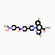 COC(=O)C1=Cc2cc(Cl)ccc2C(N2CCC(C3CCN(C(=O)CC4CCN(B(C)O)CC4)CC3)CC2)c2ncc(Cl)cc21